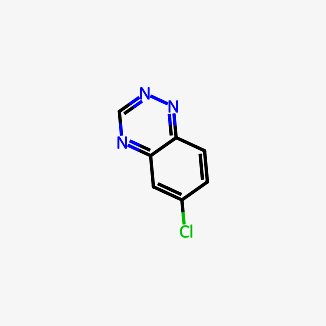 Clc1ccc2nncnc2c1